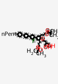 C=C(C)C(=O)OCCCc1cc(-c2ccc(-c3ccc([C@H]4CC[C@H](CCCCC)CC4)cc3)cc2F)cc(CCCOC(=O)C(=C)C)c1OCCC(CO)CO